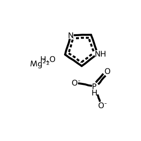 O.O=[PH]([O-])[O-].[Mg+2].c1c[nH]cn1